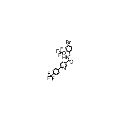 O=C(NCc1ccc(Br)cc1OC(F)(F)F)c1ccc(-c2ccc(C(F)(F)F)cc2)nc1